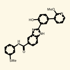 COc1ncccc1-c1ccc(O)c(-c2nc3cc(C(=O)Nc4cccc(SC)c4)ccc3[nH]2)c1